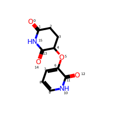 O=C1CCC(Oc2ccc[nH]c2=O)C(=O)N1